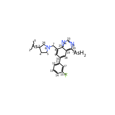 C[As](C)C1CCN(Cc2cc(-c3cccc(F)c3)cc3c([AsH2])ncnc23)C1